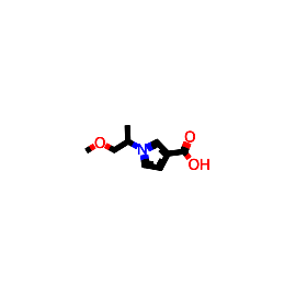 COCC(C)n1ccc(C(=O)O)c1